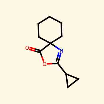 O=C1OC(C2CC2)=NC12CCCCC2